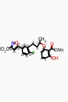 COC(=O)c1c(O)cccc1OC(C)CCc1cc(-c2cc(C(=O)O)no2)ccc1F